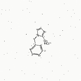 CCc1nccn1Cc1ccccc1.Cl